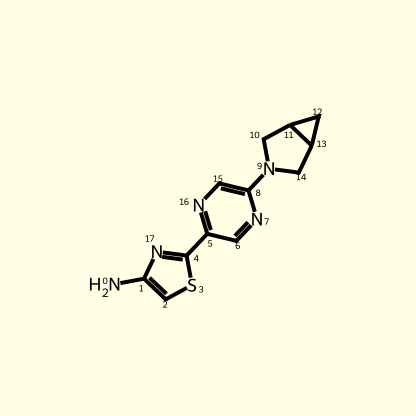 Nc1csc(-c2cnc(N3CC4CC4C3)cn2)n1